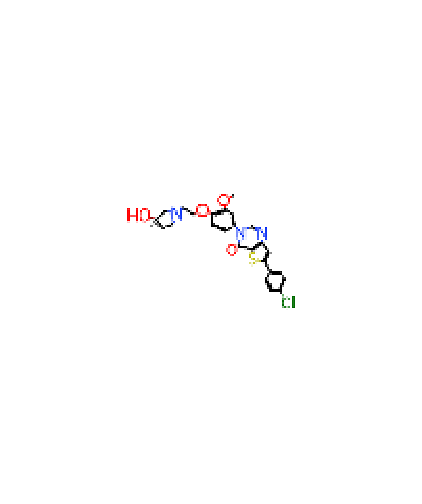 COc1cc(-n2cnc3cc(-c4ccc(Cl)cc4)sc3c2=O)ccc1OCCN1CC[C@@H](O)C1